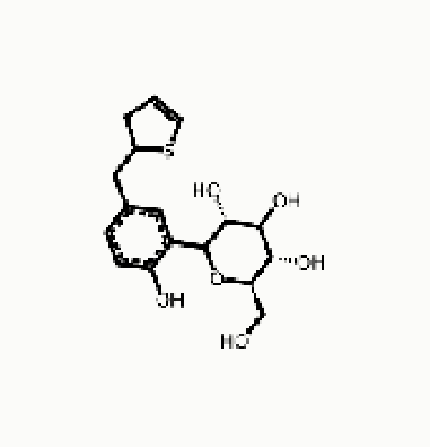 OC[C@H]1OC(c2cc(CC3CC=CS3)ccc2O)[C@H](O)C(O)[C@@H]1O